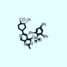 Cc1nc(OS(=O)(=O)c2c(C(C)C)cc(C(C)C)cc2C(C)C)c2cc(C3CCC(C(=O)O)CC3)ncc2n1